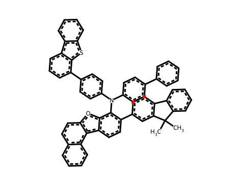 CC1(C)c2ccccc2-c2ccc(-c3ccc4c(oc5ccc6ccccc6c54)c3N(c3ccc(-c4ccccc4)cc3)c3ccc(-c4cccc5c4sc4ccccc45)cc3)cc21